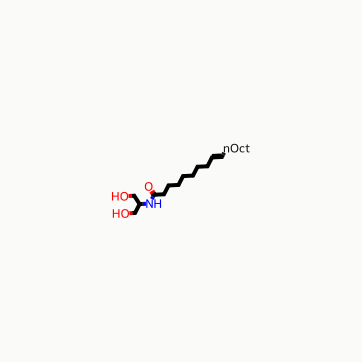 CCCCCCCCC=CCCCCCCCC(=O)NC(CO)CO